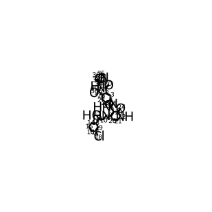 O=C1c2cc3nc(-c4c(NCC(O)c5cccc(Cl)c5)cc[nH]c4=O)[nH]c3cc2C(=O)N1[C@H]1CN2CCC1CC2